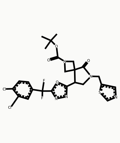 CC(C)(C)OC(=O)N1CC2(C1)C(=O)N(Cc1cncs1)CC2c1nnc(C(F)(F)c2ccc(Cl)c(Cl)c2)o1